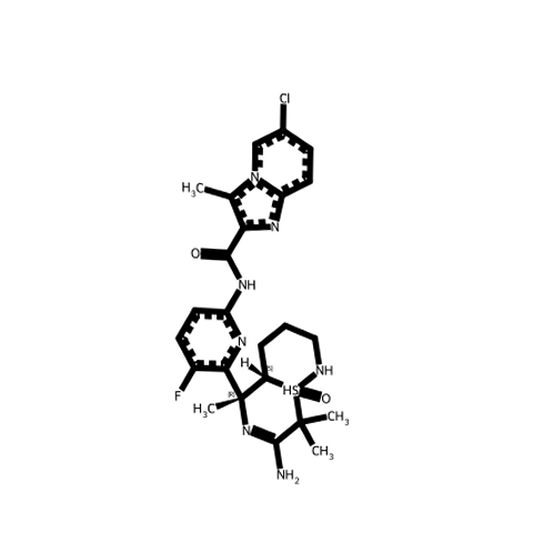 Cc1c(C(=O)Nc2ccc(F)c([C@@]3(C)N=C(N)C(C)(C)[SH]4(=O)NCCC[C@@H]34)n2)nc2ccc(Cl)cn12